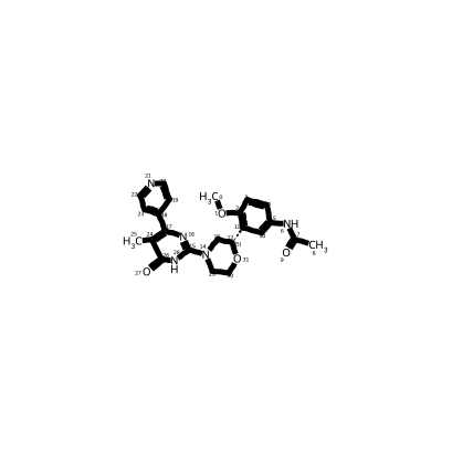 COc1ccc(NC(C)=O)cc1[C@H]1CN(c2nc(-c3ccncc3)c(C)c(=O)[nH]2)CCO1